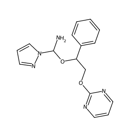 NC(OC(COc1ncccn1)c1ccccc1)n1cccn1